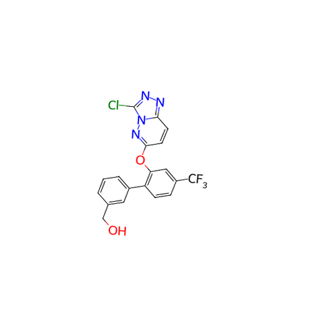 OCc1cccc(-c2ccc(C(F)(F)F)cc2Oc2ccc3nnc(Cl)n3n2)c1